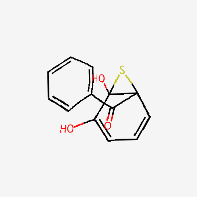 O=C(c1ccccc1)C12C=CC=C(O)C1(O)S2